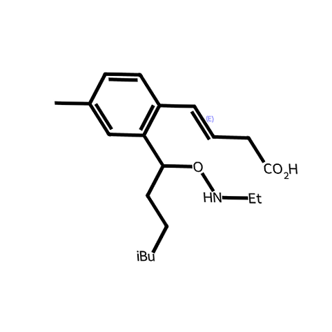 CCNOC(CCC(C)CC)c1cc(C)ccc1/C=C/CC(=O)O